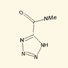 CNC(=O)c1nnn[nH]1